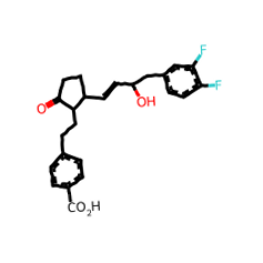 O=C(O)c1ccc(CCC2C(=O)CCC2C=CC(O)Cc2ccc(F)c(F)c2)cc1